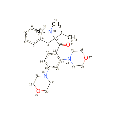 CCC(Cc1ccccc1)(C(=O)c1ccc(N2CCOCC2)cc1N1CCOCC1)N(C)C